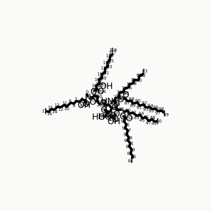 CN(C(=O)C[C@H](O)CCCCCCCCCCI)C1OC(COC2OC(CO)C(OP(=O)(O)O)C(OC(=O)C[C@@H](CCCCCCCCCCI)OC(=O)CCCCCCCCCCCCI)C2NC(=O)C[C@@H](CCCCCCCCCCI)OC(=O)CCCCCCCCCCCCI)C[C@H]1OC(=O)C[C@H](O)CCCCCCCCCCI